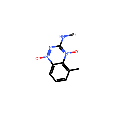 CCNc1n[n+]([O-])c2cccc(C)c2[n+]1[O-]